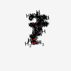 CC(=O)N[C@H](Cc1c[nH]c2ccccc12)C(=O)N[C@@H](Cc1ccc(Cl)cc1)C(=O)N[C@H](Cc1c[nH]c2ccccc12)C(=O)N[C@@H](CO)C(=O)N[C@@H](Cc1ccc(O)cc1)C(=O)N[C@H](Cc1c[nH]c2ccccc12)C(=O)N[C@@H](CC(C)C)C(=O)N[C@@H](CCCNC(=N)N)C(=O)N1CCC[C@H]1C(=O)NCC(N)=O